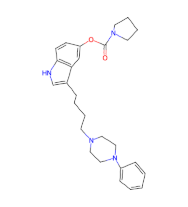 O=C(Oc1ccc2[nH]cc(CCCCN3CCN(c4ccccc4)CC3)c2c1)N1CCCC1